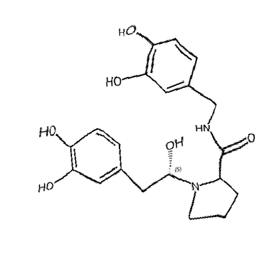 O=C(NCc1ccc(O)c(O)c1)C1CCCN1[C@@H](O)Cc1ccc(O)c(O)c1